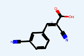 N#C/C(=C\c1cccc(C#N)c1)C(=O)O